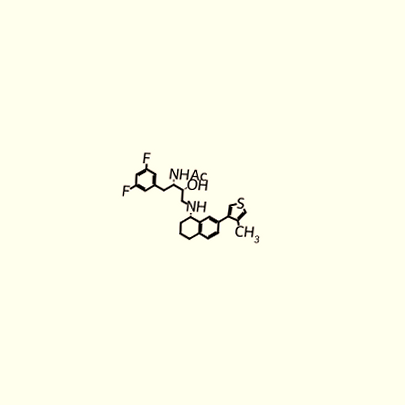 CC(=O)N[C@@H](Cc1cc(F)cc(F)c1)[C@H](O)CN[C@H]1CCCc2ccc(-c3cscc3C)cc21